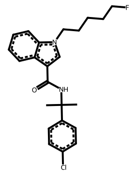 CC(C)(NC(=O)c1cn(CCCCCF)c2ccccc12)c1ccc(Cl)cc1